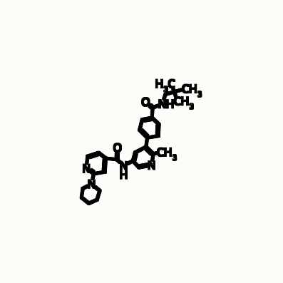 Cc1ncc(NC(=O)c2ccnc(N3CCCCC3)c2)cc1-c1ccc(C(=O)NCC(C)(C)C)cc1